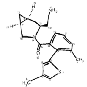 Cc1csc(-c2c(C)cccc2C(=O)N2C[C@H]3C[C@H]3[C@H]2CN)c1